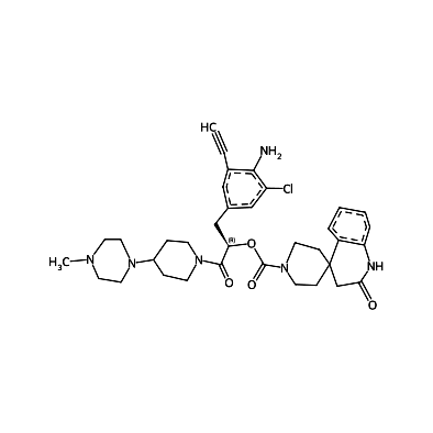 C#Cc1cc(C[C@@H](OC(=O)N2CCC3(CC2)CC(=O)Nc2ccccc23)C(=O)N2CCC(N3CCN(C)CC3)CC2)cc(Cl)c1N